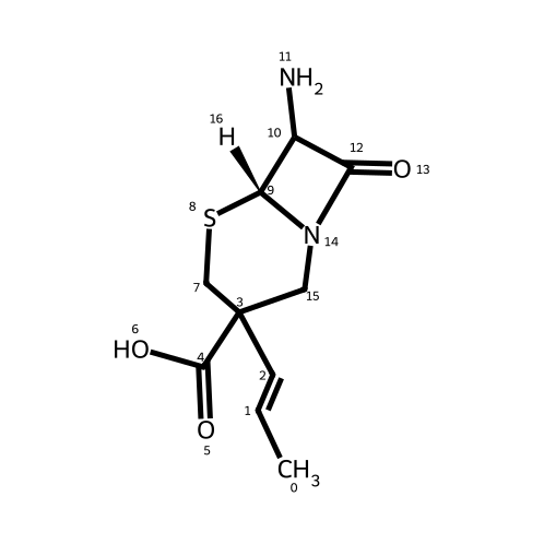 C/C=C/C1(C(=O)O)CS[C@@H]2C(N)C(=O)N2C1